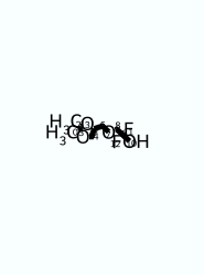 CC1(C)OCC(COCC(O)(F)F)O1